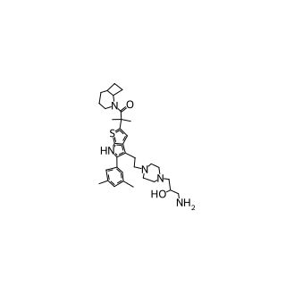 Cc1cc(C)cc(-c2[nH]c3sc(C(C)(C)C(=O)N4CCCC5CCC54)cc3c2CCN2CCN(CC(O)CN)CC2)c1